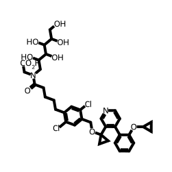 O=C(O)CN(CC(O)C(O)C(O)C(O)CO)C(=O)CCCCc1cc(Cl)c(COC2(c3cnccc3-c3ccccc3OC3CC3)CC2)cc1Cl